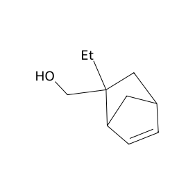 CCC1(CO)CC2C=CC1C2